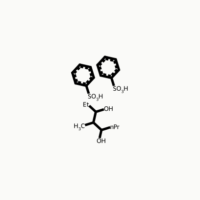 CCCC(O)C(C)C(O)CC.O=S(=O)(O)c1ccccc1.O=S(=O)(O)c1ccccc1